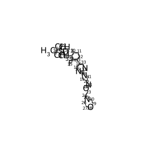 CC(C)(C)[Si](C)(C)OCc1cccc(-c2cnc(N3CC(=NOCCN4CCOCC4)C3)nc2)c1F